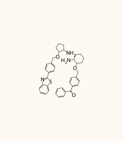 NC1CCCC1OCc1ccc(-c2nc3ccccc3s2)cc1.NC1CCCCC1OCc1ccc(C(=O)c2ccccc2)cc1